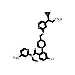 COc1ccnc(N(CC(C)C)C(=O)c2ccc(O)cc2N2CCC(COc3cc(C(CC(=O)O)C4CC4)ccn3)CC2)c1